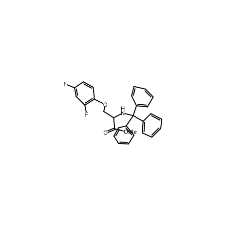 COC(=O)C(COc1ccc(F)cc1F)NC(c1ccccc1)(c1ccccc1)c1ccccc1